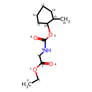 CCOC(=O)CNC(=O)OC1CCCCC1C